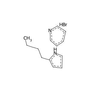 Br.CCCCc1ccc[nH]1.c1ccncc1